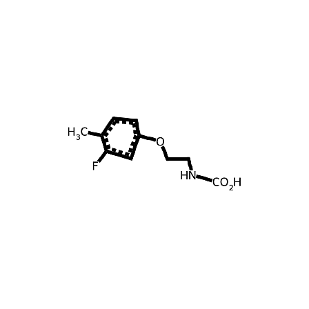 Cc1ccc(OCCNC(=O)O)cc1F